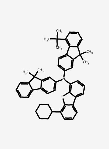 CC(C)(C)c1cccc2c1-c1ccc(N(c3ccc4c(c3)C(C)(C)c3ccccc3-4)c3cccc4c3sc3c(C5CCCCC5)cccc34)cc1C2(C)C